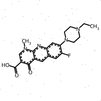 CCN1CCN(c2cc3nc4c(cc3cc2F)c(=O)c(C(=O)O)cn4C)CC1